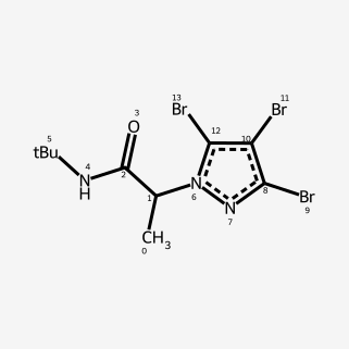 CC(C(=O)NC(C)(C)C)n1nc(Br)c(Br)c1Br